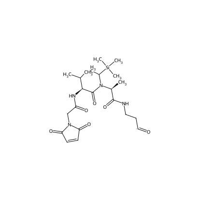 CC(C)[C@H](NC(=O)CN1C(=O)C=CC1=O)C(=O)N(C(C)[Si](C)(C)C)[C@@H](C)C(=O)NCC[C]=O